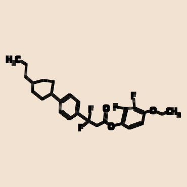 CCCC1CCC(c2ccc(C(F)(F)CC(=O)Oc3ccc(OCC)c(F)c3F)cc2)CC1